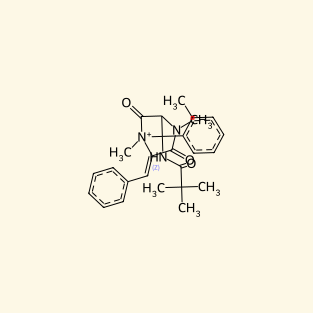 Cc1ccccc1C1(NC(=O)C(C)(C)C)C2C(=O)[N+]1(C)/C(=C\c1ccccc1)C(=O)N2C